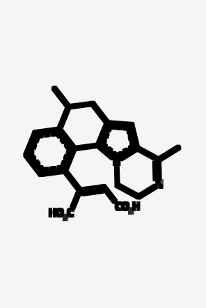 CC1=NCCn2c1cc1c2-c2c(C(=CC(=O)O)C(=O)O)cccc2C(C)C1